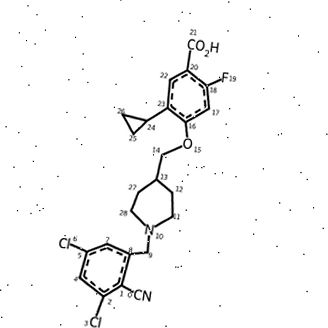 N#Cc1c(Cl)cc(Cl)cc1CN1CCC(COc2cc(F)c(C(=O)O)cc2C2CC2)CC1